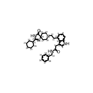 O=C(Cc1c[nH]c2cccc(CCN3CCC4(CC3)N=C(C3CCCCC3)NC4=O)c12)NCc1ccccc1